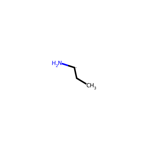 CC[CH]N